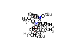 Cc1cc2c(cc1N1c3cc(-c4cccc5c4-c4ccccc4C5(C)C)ccc3B(c3cc4c(cc3C(C)c3ccc(C(C)(C)C)cc3-c3ccccc3)C(C)(C)CC4(C)C)c3c(C)cc(N(c4ccc(C(C)(C)C)cc4)c4ccc(C(C)(C)C)cc4)cc31)C(C)(C)CC2(C)C